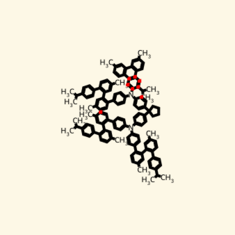 Cc1ccc(-c2ccc(C(C)C)cc2)c(-c2cc(C)ccc2-c2ccc(N(c3ccc(-c4ccc(C)cc4-c4cc(C)ccc4-c4ccc(C(C)C)cc4)cc3)c3ccc(C4(c5ccc(N(c6ccc(-c7ccc(C)cc7-c7cc(C)ccc7-c7ccc(C(C)C)cc7)cc6)c6ccc(-c7ccc(C)cc7-c7cc(C)ccc7-c7ccc(C(C)C)cc7)cc6)cc5)CCCC4)cc3)cc2)c1